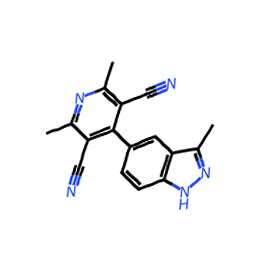 Cc1nc(C)c(C#N)c(-c2ccc3[nH]nc(C)c3c2)c1C#N